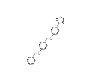 c1ccc(COc2ccc(COc3ccc(C4OCCS4)cc3)cc2)cc1